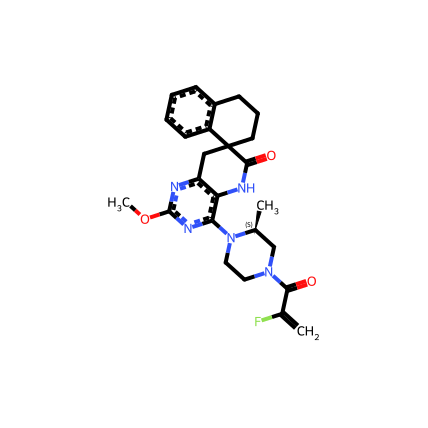 C=C(F)C(=O)N1CCN(c2nc(OC)nc3c2NC(=O)C2(CCCc4ccccc42)C3)[C@@H](C)C1